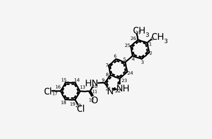 Cc1ccc(-c2ccc3c(NC(=O)c4ccc(Cl)cc4Cl)n[nH]c3c2)cc1C